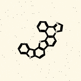 c1ccc2c(c1)sc1ccc3c4ccc5c(c6ccccc6c6nccn56)c4sc3c12